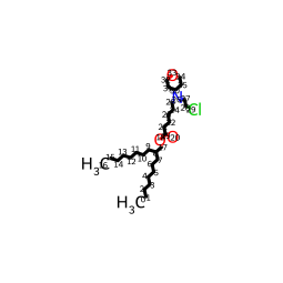 CCCCCCCCC(CCCCCCCC)COC(=O)CCCCCN(CCCl)C1CCOCC1